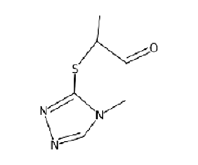 CC(C=O)Sc1nncn1C